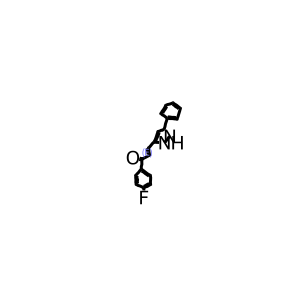 O=C(/C=C/c1cc(-c2ccccc2)n[nH]1)c1ccc(F)cc1